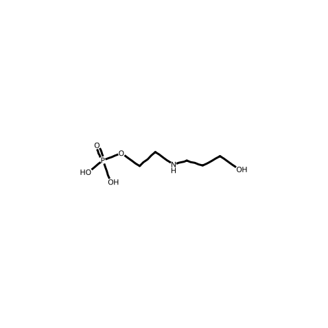 O=P(O)(O)OCCNCCCO